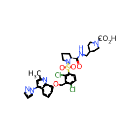 Cc1cc(-n2cccn2)c2cccc(OCc3c(Cl)ccc(S(=O)(=O)N4CCC[C@H]4C(=O)NCC4CCN(C(=O)O)CC4)c3Cl)c2n1